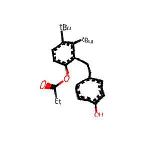 CCC(=O)Oc1ccc(C(C)(C)C)c(C(C)(C)C)c1Cc1ccc(O)cc1